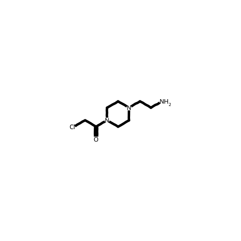 NCCN1CCN(C(=O)CCl)CC1